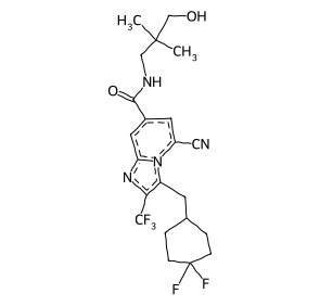 CC(C)(CO)CNC(=O)c1cc(C#N)n2c(CC3CCC(F)(F)CC3)c(C(F)(F)F)nc2c1